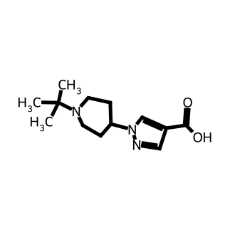 CC(C)(C)N1CCC(n2cc(C(=O)O)cn2)CC1